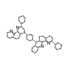 c1ccc(-c2ccc3ccc4c(-c5ccc(-c6cc(-c7ccccc7)nc7c6ccc6cccnc67)cc5)c5ccccc5nc4c3n2)cc1